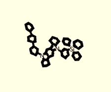 c1ccc(-c2ccc(-c3cccc(-n4c5ccccc5c5cc6c(cc54)c4ccccc4n6-c4cccc([Si](c5ccccc5)(c5ccccc5)c5ccccc5)c4)c3)cc2)cc1